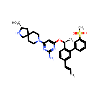 C/C=C/c1ccc([C@@H](Oc2cc(N3CCC4(CC3)CN[C@H](C(=O)O)C4)nc(N)n2)C(F)(F)F)c(-c2cccc(S(C)(=O)=O)c2)c1